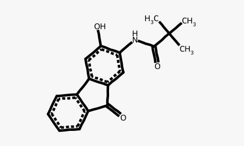 CC(C)(C)C(=O)Nc1cc2c(cc1O)-c1ccccc1C2=O